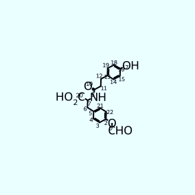 O=COc1ccc(CC(NC(=O)CCc2ccc(O)cc2)C(=O)O)cc1